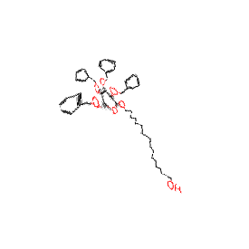 OCCCCCCCCCCCCCCCCO[C@@H]1O[C@H](COCc2ccccc2)[C@H](OCc2ccccc2)[C@H](OCc2ccccc2)[C@H]1OCc1ccccc1